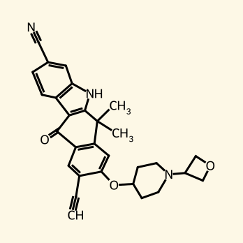 C#Cc1cc2c(cc1OC1CCN(C3COC3)CC1)C(C)(C)c1[nH]c3cc(C#N)ccc3c1C2=O